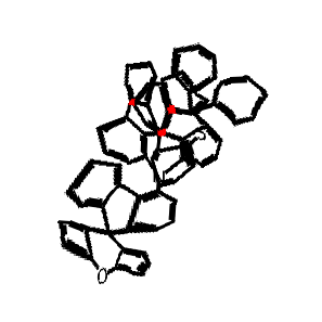 c1ccc(C2(c3ccccc3)c3ccccc3-c3c(N(c4cccc5c4-c4ccccc4C54c5ccccc5Oc5ccccc54)c4cccc5c4C4(c6ccccc6Sc6ccccc64)c4ccccc4-5)cccc32)cc1